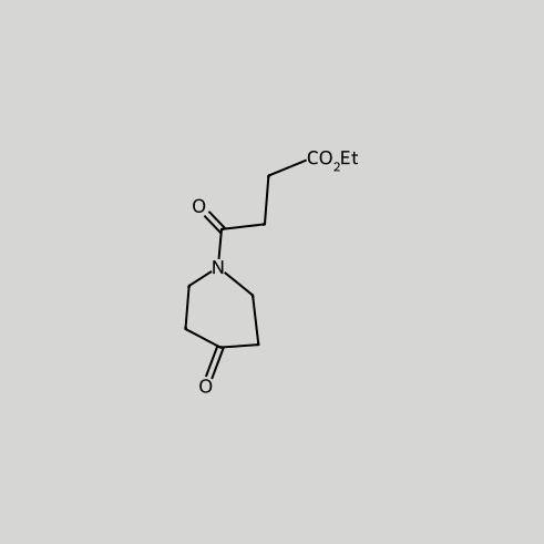 CCOC(=O)CCC(=O)N1CCC(=O)CC1